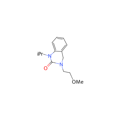 COCCN1Cc2ccccc2N(C(C)C)C1=O